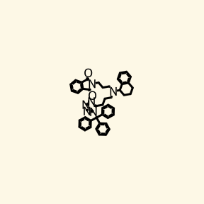 O=C1c2ccccc2C(=O)N1CCCN(CCCc1nnnn1C(c1ccccc1)(c1ccccc1)c1ccccc1)C1CCCc2ccccc21